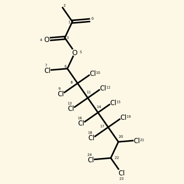 C=C(C)C(=O)OC(Cl)C(Cl)(Cl)C(Cl)(Cl)C(Cl)(Cl)C(Cl)(Cl)C(Cl)C(Cl)Cl